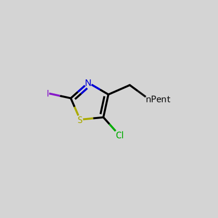 CCCCCCc1nc(I)sc1Cl